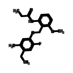 CCC(=O)Nc1cccc(OC)c1COc1cc(C)c(CC)cc1F